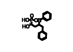 O=P(O)(O)[C@@H](O)CC(Cc1ccccc1)Oc1ccccc1